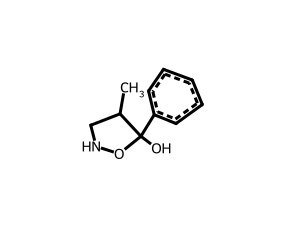 CC1CNOC1(O)c1ccccc1